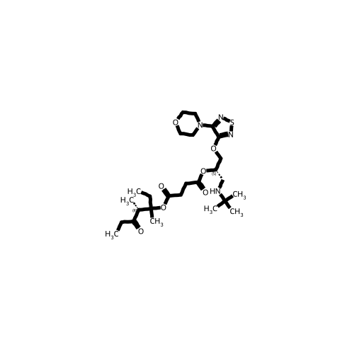 CCC(=O)[C@H](C)C(C)(CC)OC(=O)CCC(=O)O[C@@H](CNC(C)(C)C)COc1nsnc1N1CCOCC1